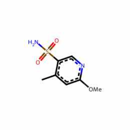 COc1cc(C)c(S(N)(=O)=O)cn1